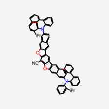 CC(C)c1ccccc1N(c1ccc2cc3c(cc2c1)oc1c(C#N)c2oc4cc5cc(N(c6ccccc6-c6ccccc6)c6ccccc6C(C)C)ccc5cc4c2cc13)c1ccccc1-c1ccccc1